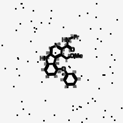 COCc1c(C(=O)NC(C)C)ncc2[nH]c3cccc(Oc4ccccc4)c3c12